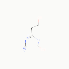 N#C/N=C(/CCO)NCO